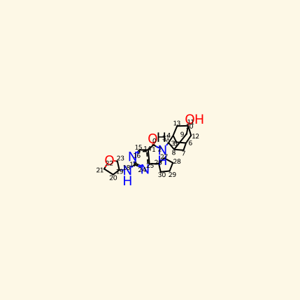 O=C(N[C@H]1C2CC3CC1C[C@@](O)(C3)C2)c1cnc(N[C@H]2CCOC2)nc1C1CCCC1